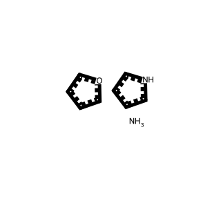 N.c1cc[nH]c1.c1ccoc1